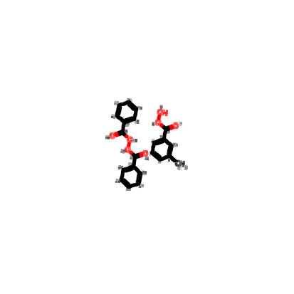 Cc1cccc(C(=O)OO)c1.O=C(OOC(=O)c1ccccc1)c1ccccc1